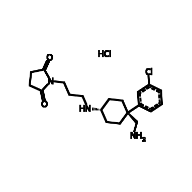 Cl.NC[C@]1(c2cccc(Cl)c2)CC[C@@H](NCCCN2C(=O)CCC2=O)CC1